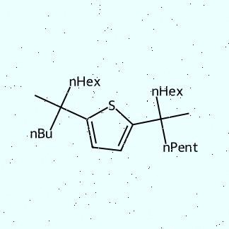 CCCCCCC(C)(CCCC)c1ccc(C(C)(CCCCC)CCCCCC)s1